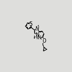 CN1C(c2cccs2)=CN2NC(OCC3CC3)=CC=C21